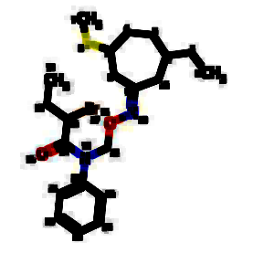 CCC1CCC(SC)CC(=NOCN(C(=O)C(Br)CC)c2ccccc2)C1